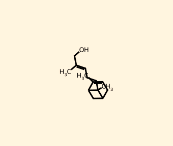 CC1=CCC2CC1C2(C)CC/C=C(\C)CO